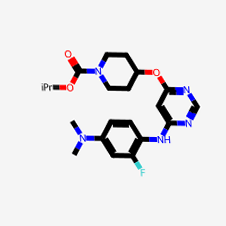 CC(C)OC(=O)N1CCC(Oc2cc(Nc3ccc(N(C)C)cc3F)ncn2)CC1